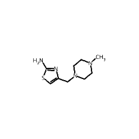 CN1CCN(Cc2csc(N)n2)CC1